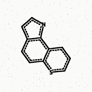 c1csc2ccc3ccnc3c2c1